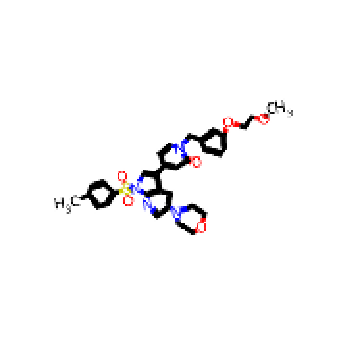 COCCOc1cccc(Cn2ccc(-c3cn(S(=O)(=O)c4ccc(C)cc4)c4ncc(N5CCOCC5)cc34)cc2=O)c1